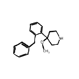 COC1(c2ccccc2Cc2ccccc2)CCNCC1